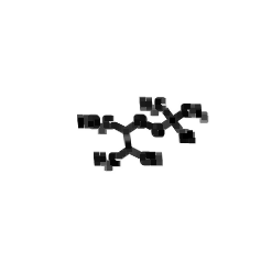 CCC(C)(C)OOC(C(=O)O)C(C)O